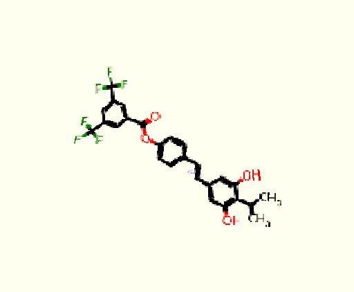 CC(C)c1c(O)cc(/C=C/c2ccc(OC(=O)c3cc(C(F)(F)F)cc(C(F)(F)F)c3)cc2)cc1O